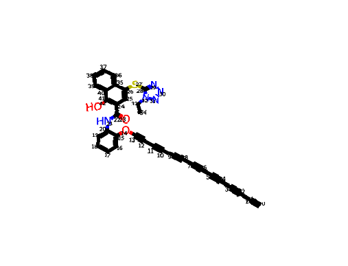 C#CC#CC#CC#CC#CC#CC#COc1ccccc1NC(=O)c1cc(Sc2nnnn2CC)c2ccccc2c1O